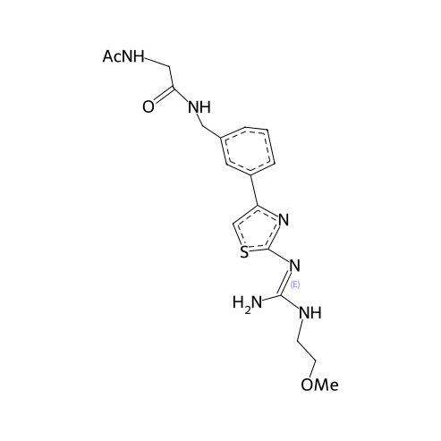 COCCN/C(N)=N/c1nc(-c2cccc(CNC(=O)CNC(C)=O)c2)cs1